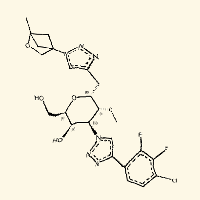 CO[C@@H]1[C@@H](n2cc(-c3ccc(Cl)c(F)c3F)nn2)[C@@H](O)[C@@H](CO)O[C@@H]1Cc1cn(C23COC(C)(C2)C3)nn1